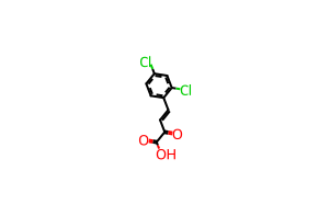 O=C(O)C(=O)/C=C/c1ccc(Cl)cc1Cl